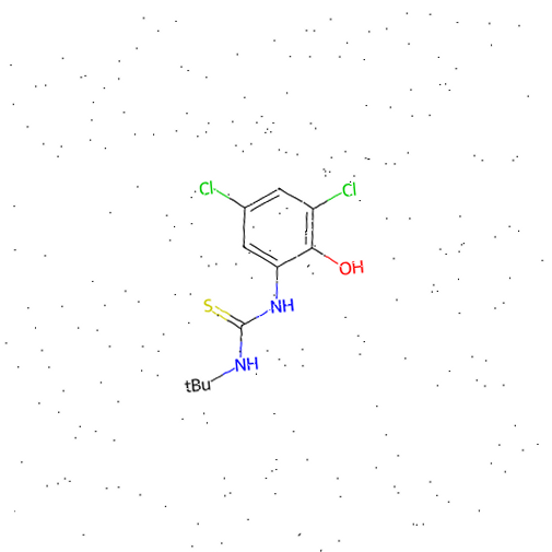 CC(C)(C)NC(=S)Nc1cc(Cl)cc(Cl)c1O